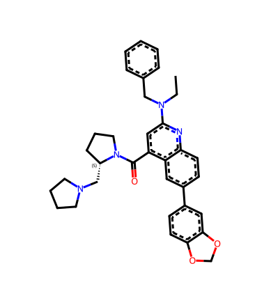 CCN(Cc1ccccc1)c1cc(C(=O)N2CCC[C@H]2CN2CCCC2)c2cc(-c3ccc4c(c3)OCO4)ccc2n1